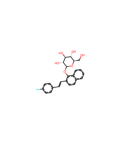 OC[C@H]1OC(Oc2c(/C=C/c3ccc(F)cc3)ccc3ccccc23)[C@H](O)[C@@H](O)[C@@H]1O